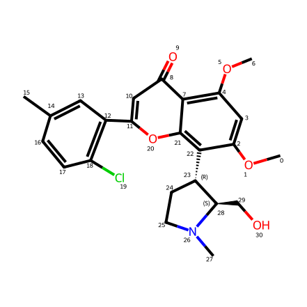 COc1cc(OC)c2c(=O)cc(-c3cc(C)ccc3Cl)oc2c1[C@H]1CCN(C)[C@@H]1CO